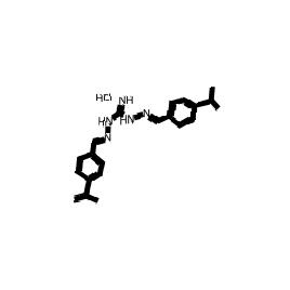 CC(C)c1ccc(C=NNC(=N)NN=Cc2ccc(C(C)C)cc2)cc1.Cl